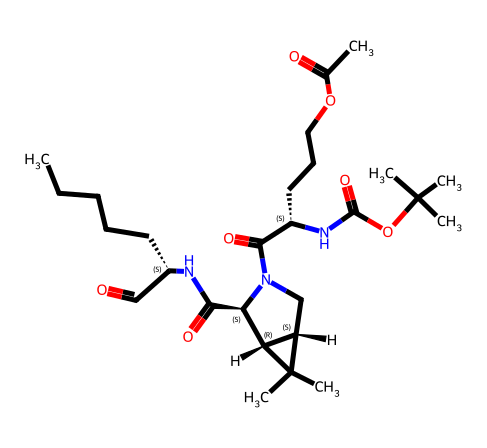 CCCCC[C@@H](C=O)NC(=O)[C@@H]1[C@@H]2[C@H](CN1C(=O)[C@H](CCCOC(C)=O)NC(=O)OC(C)(C)C)C2(C)C